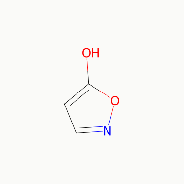 Oc1ccno1